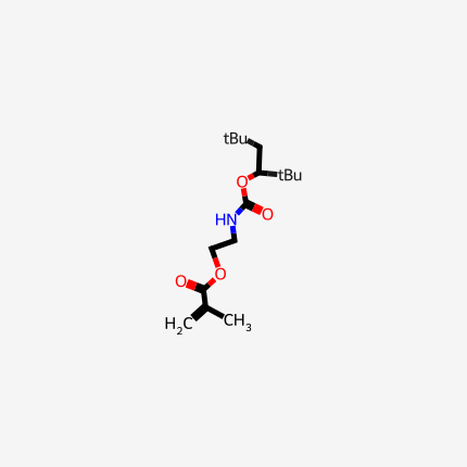 C=C(C)C(=O)OCCNC(=O)OC(CC(C)(C)C)C(C)(C)C